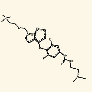 CN(C)CCNC(=O)Nc1cc(F)c(Oc2ccnc3c2ccn3COCC[Si](C)(C)C)c(F)c1